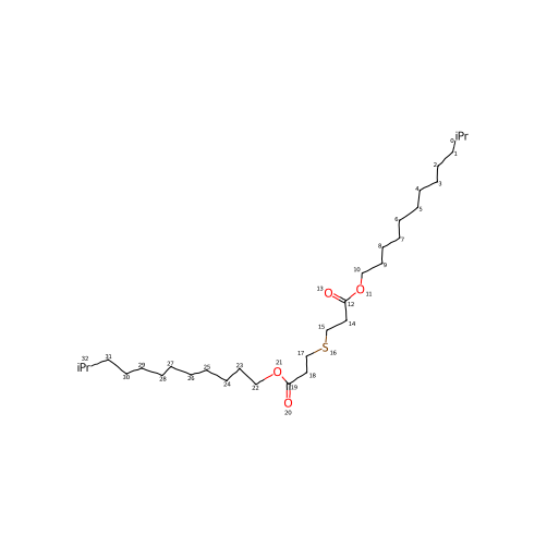 CC(C)CCCCCCCCCCOC(=O)CCSCCC(=O)OCCCCCCCCCCC(C)C